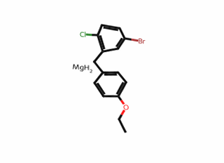 CCOc1ccc(Cc2cc(Br)ccc2Cl)cc1.[MgH2]